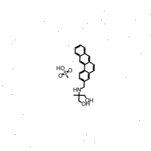 CC(CO)(CO)NCc1ccc2c(ccc3cc4ccccc4cc32)c1.CS(=O)(=O)O